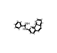 N=C(Nc1ccc2ccc3cccnc3c2n1)c1ccccc1